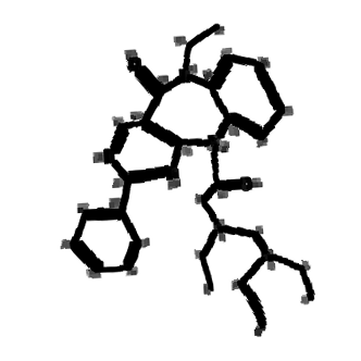 CCN(CC)CN(CC)CC(=O)N1c2ccccc2N(CC)C(=O)c2cnc(-c3ccccc3)nc21